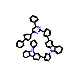 C1=Cc2c(c3ccc(-c4cccc(-n5c6ccccc6c6cc(-c7cccc(-c8nc(-c9ccccc9)cc(-c9ccc(-c%10ccccc%10)cc9)n8)c7)ccc65)c4)cc3n2-c2ccccc2)CC1